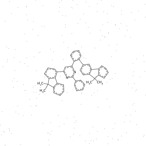 CC1(C)c2ccccc2-c2cc(-c3ccccc3-c3cc(-c4cccc5c4-c4ccccc4C5(C)C)nc(-c4ccccc4)n3)ccc21